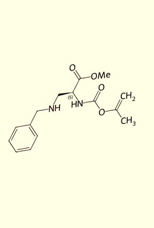 C=C(C)OC(=O)N[C@@H](CNCc1ccccc1)C(=O)OC